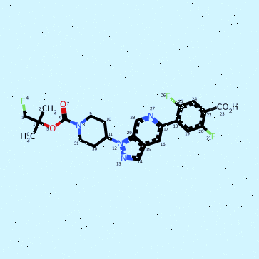 CC(C)(CF)OC(=O)N1CCC(n2ncc3cc(-c4cc(F)c(C(=O)O)cc4F)ncc32)CC1